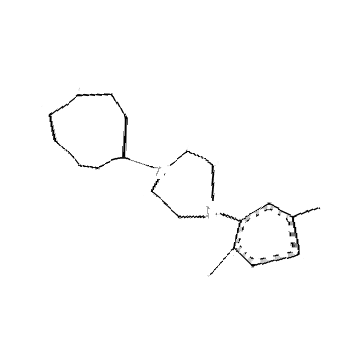 Cc1ccc(C)c(N2CCN(C3CCCCCCC3)CC2)c1